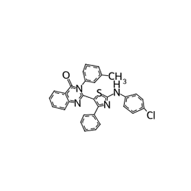 Cc1cccc(-n2c(-c3sc(Nc4ccc(Cl)cc4)nc3-c3ccccc3)nc3ccccc3c2=O)c1